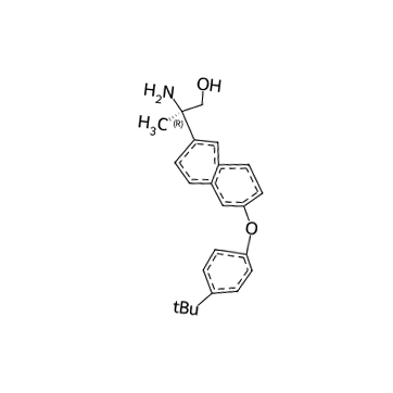 CC(C)(C)c1ccc(Oc2ccc3cc([C@@](C)(N)CO)ccc3c2)cc1